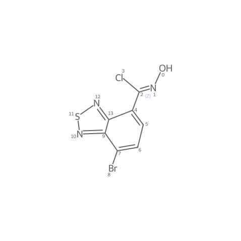 O/N=C(\Cl)c1ccc(Br)c2nsnc12